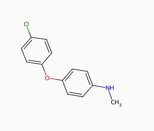 CNc1ccc(Oc2ccc(Cl)cc2)cc1